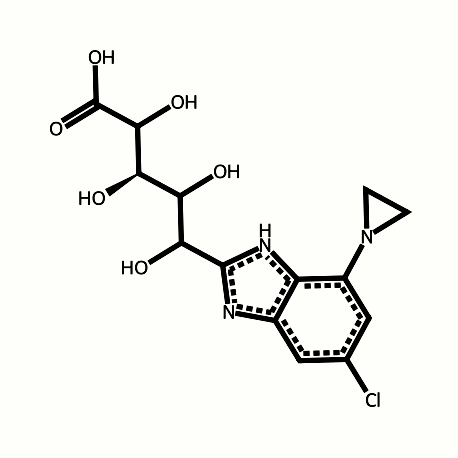 O=C(O)C(O)[C@H](O)C(O)C(O)c1nc2cc(Cl)cc(N3CC3)c2[nH]1